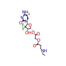 CCNCCC(=O)OCC(=O)OC[C@H]1O[C@@H](n2ccc(N)nc2=O)C(F)(F)[C@@H]1O